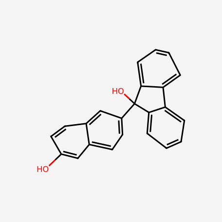 Oc1ccc2cc(C3(O)c4ccccc4-c4ccccc43)ccc2c1